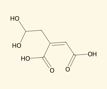 O=C(O)C=C(CC(O)O)C(=O)O